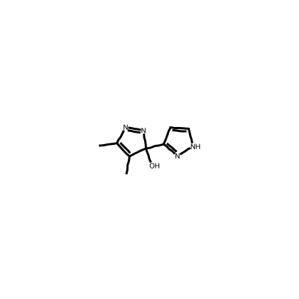 CC1=C(C)C(O)(c2cc[nH]n2)N=N1